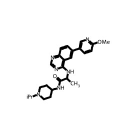 COc1ccc(-c2ccc3ncnc(NC(C)C(=O)NC4CCN(C(C)C)CC4)c3c2)cn1